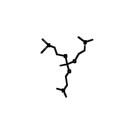 CN(C)CCOC(C)(OCCN(C)C)OCCN(C)C